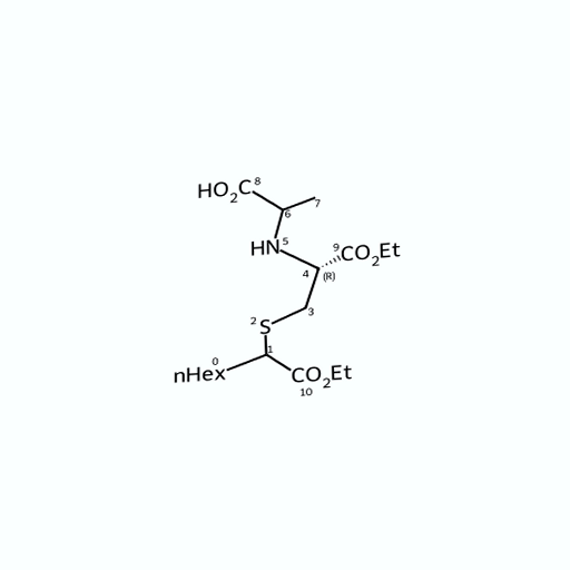 CCCCCCC(SC[C@H](NC(C)C(=O)O)C(=O)OCC)C(=O)OCC